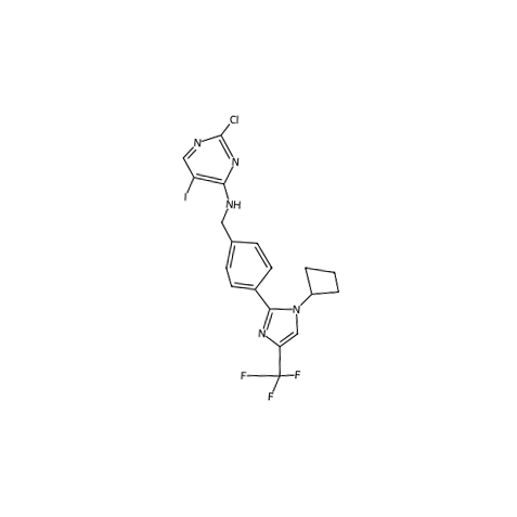 FC(F)(F)c1cn(C2CCC2)c(-c2ccc(CNc3nc(Cl)ncc3I)cc2)n1